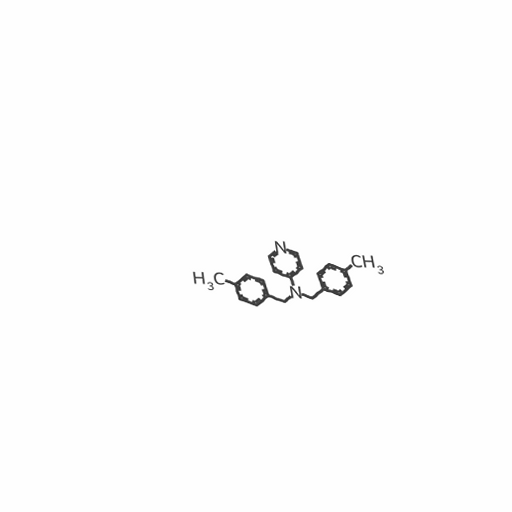 Cc1ccc(CN(Cc2ccc(C)cc2)c2ccncc2)cc1